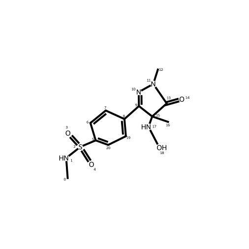 CNS(=O)(=O)c1ccc(C2=NN(C)C(=O)C2(C)NO)cc1